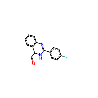 O=CC1NC(c2ccc(F)cc2)=Nc2ccccc21